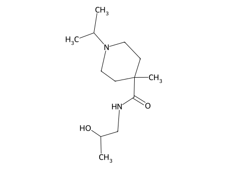 CC(O)CNC(=O)C1(C)CCN(C(C)C)CC1